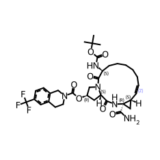 CC(C)(C)OC(=O)N[C@H]1CCCCC/C=C\[C@@H]2C[C@@]2(C(N)=O)NC(=O)[C@@H]2C[C@@H](OC(=O)N3CCc4cc(C(F)(F)F)ccc4C3)CN2C1=O